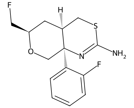 NC1=N[C@@]2(c3ccccc3F)CO[C@@H](CF)C[C@H]2CS1